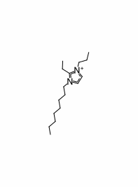 CCCCCCCCn1cc[n+](CCC)c1CC